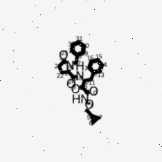 O=C(NOCC1CC1)C(=O)C(Cc1ccccc1)NC(=O)C1CCC(=O)N1Cc1ccccc1